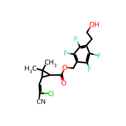 CC1(C)C(C=C(Cl)C#N)C1C(=O)OCc1c(F)c(F)c(CCO)c(F)c1F